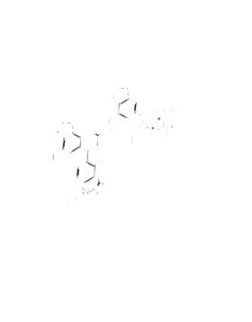 Cn1nnc2c(Cl)c(C(CC(=O)OCc3cc(B4OC(C)(C)C(C)(C)O4)cc4c3CCC4)c3cc(CO)c4c(c3)CCC4)ccc21